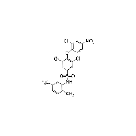 Cc1ccc(C(F)(F)F)cc1NS(=O)(=O)c1cc(Cl)c(Oc2ccc([N+](=O)[O-])cc2Cl)c(Cl)c1